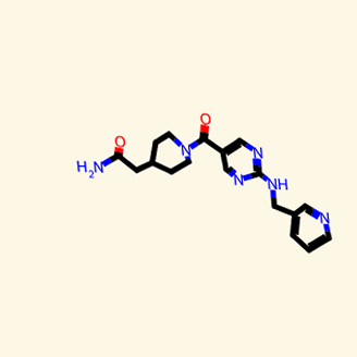 NC(=O)CC1CCN(C(=O)c2cnc(NCc3cccnc3)nc2)CC1